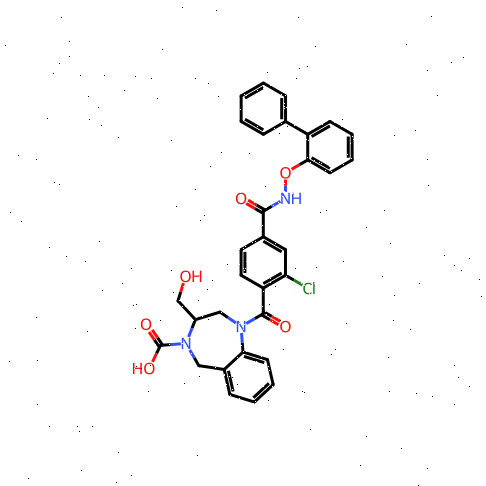 O=C(NOc1ccccc1-c1ccccc1)c1ccc(C(=O)N2CC(CO)N(C(=O)O)Cc3ccccc32)c(Cl)c1